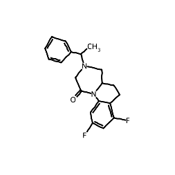 CC(c1ccccc1)N1CC(=O)N2c3cc(F)cc(F)c3CCC2C1